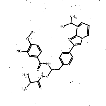 CC(C)Oc1ccc(C(=O)NC(CNC(=O)C(C)N)Cc2ccc(-c3cn4cccc(C(C)O)c4n3)cc2)cc1C#N